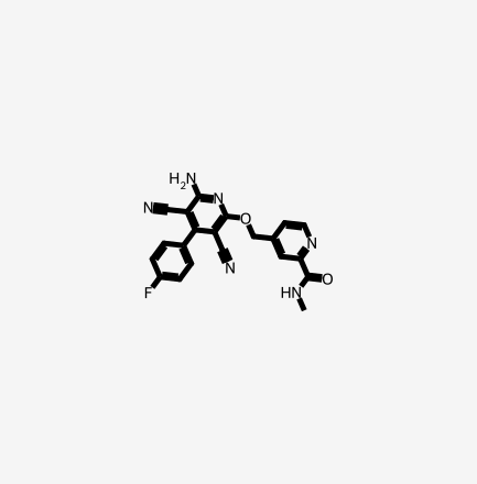 CNC(=O)c1cc(COc2nc(N)c(C#N)c(-c3ccc(F)cc3)c2C#N)ccn1